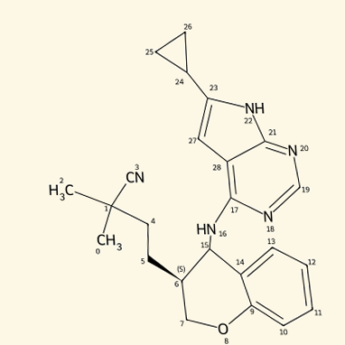 CC(C)(C#N)CC[C@@H]1COc2ccccc2C1Nc1ncnc2[nH]c(C3CC3)cc12